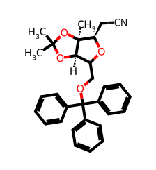 CC1(C)O[C@@H]2C(COC(c3ccccc3)(c3ccccc3)c3ccccc3)O[C@H](CC#N)[C@]2(C)O1